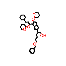 OCC(CCCCOCc1ccccc1)C1=CC2C(C1)C[C@@H](OC1CCCCO1)[C@@H]2C(=CCC1CCCCC1)OC1CCCCO1